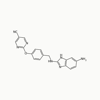 N#Cc1cnc(Oc2ccc(CNc3nc4ccc(N)cc4[nH]3)cc2)nc1